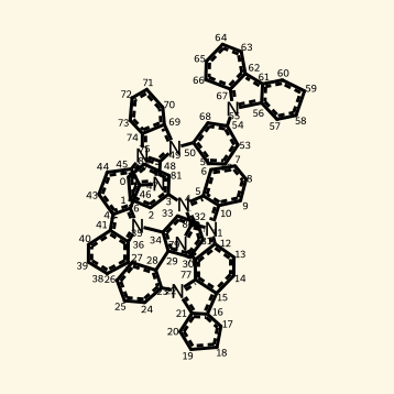 c1ccc(-n2c3ccccc3n3c4ccc5c6ccccc6n(-c6ccccc6-c6ccccc6-n6c7ccccc7c7ccc8c(nc9n(-c%10cccc(-n%11c%12ccccc%12c%12ccccc%12%11)c%10)c%10ccccc%10n89)c76)c5c4nc23)cc1